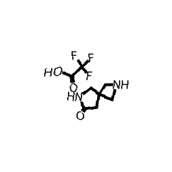 O=C(O)C(F)(F)F.O=C1CC2(CNC2)CN1